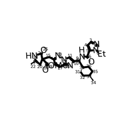 CCn1nccc1C(=O)N[C@H](c1cn2nc(CC3(C(=O)OC)C[C@@H](C)NC3=O)ccc2n1)[C@H]1CC[C@H](C)CC1